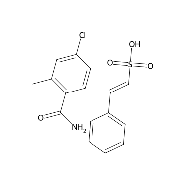 Cc1cc(Cl)ccc1C(N)=O.O=S(=O)(O)C=Cc1ccccc1